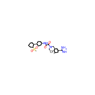 CS(=O)(=O)c1ccccc1-c1ccc(NC(=O)C(=O)N(Cc2cccc(C(=N)N)c2)CC(F)(F)F)cc1